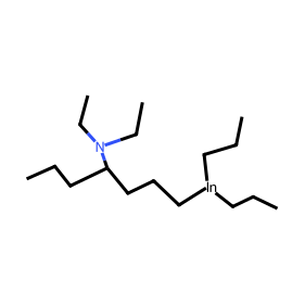 CCCC(CC[CH2][In]([CH2]CC)[CH2]CC)N(CC)CC